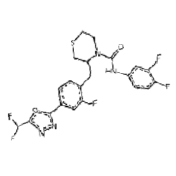 O=C(Nc1ccc(F)c(F)c1)N1CCSCC1Cc1ccc(-c2nnc(C(F)F)o2)cc1F